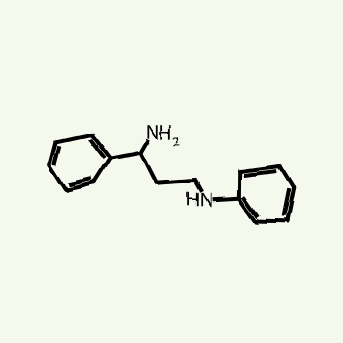 NC(CCNc1ccccc1)c1ccccc1